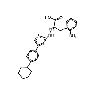 Nc1ccccc1C/C(=N\Nc1nc(-c2ccc(C3CCCCC3)cc2)cs1)C(=O)O